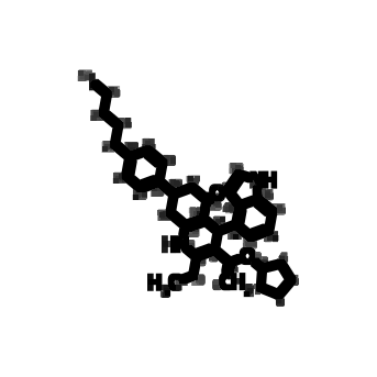 C=C(OC1CCCC1)C1=C(CC)NC2=C(C(=O)CC(c3ccc(CCCCI)cc3)C2)C1c1cccc2[nH]ccc12